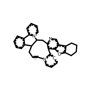 C1=C/[n+]2ccccc2-c2c(ncc3c4c(oc23)CCCC4)CC2C(C/1)c1ccccc1-c1cccc[n+]12